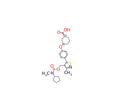 Cc1nsc(-c2ccc(O[C@H]3CCC[C@H](C(=O)O)C3)cc2)c1COC(=O)N(C)C1CCCC1